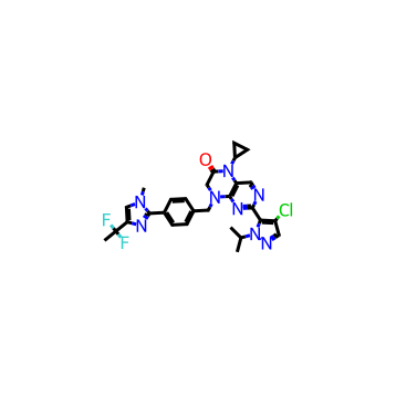 CC(C)n1ncc(Cl)c1-c1ncc2c(n1)N(Cc1ccc(-c3nc(C(C)(F)F)cn3C)cc1)CC(=O)N2C1CC1